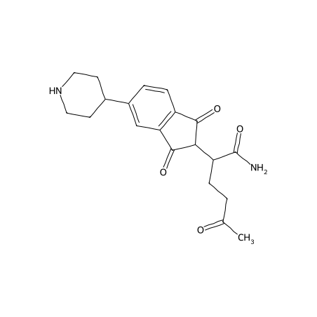 CC(=O)CCC(C(N)=O)C1C(=O)c2ccc(C3CCNCC3)cc2C1=O